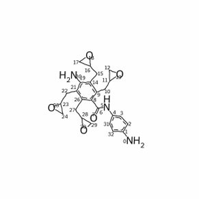 Nc1ccc(NC(=O)c2c(CC3CO3)c(CC3CO3)c(N)c(CC3CO3)c2CC2CO2)cc1